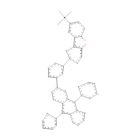 CC(C)(C)c1ccc2oc3ccc(-c4cccc(-c5ccc6c(-c7ccccc7)c7ccccc7c(-c7ccccc7)c6c5)c4)cc3c2c1